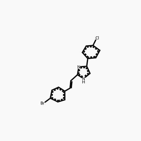 Clc1ccc(-c2c[nH]c(/C=C/c3ccc(Br)cc3)n2)cc1